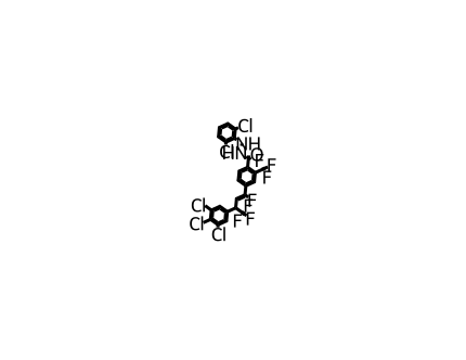 O=C(NNc1c(Cl)cccc1Cl)c1ccc(C(F)=CC(c2cc(Cl)c(Cl)c(Cl)c2)C(F)(F)F)cc1C(F)(F)F